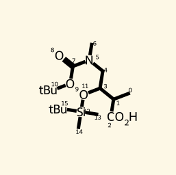 CC(C(=O)O)C(CN(C)C(=O)OC(C)(C)C)O[Si](C)(C)C(C)(C)C